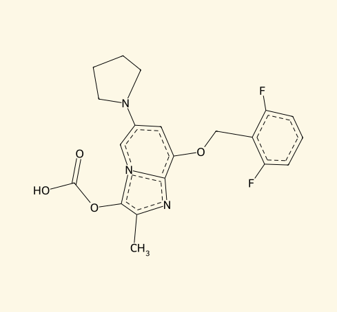 Cc1nc2c(OCc3c(F)cccc3F)cc(N3CCCC3)cn2c1OC(=O)O